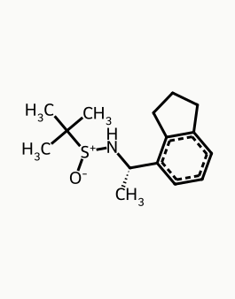 C[C@H](N[S+]([O-])C(C)(C)C)c1cccc2c1CCC2